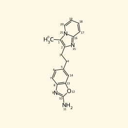 Cc1c(CCc2ccc3nc(N)oc3c2)nc2ccccn12